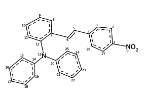 O=[N+]([O-])c1ccc(C=Cc2ccccc2N(c2ccccc2)c2ccccc2)cc1